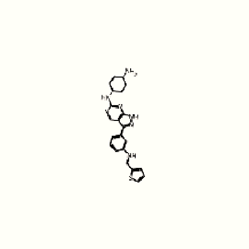 N[C@H]1CC[C@H](Nc2ncc3c(-c4cccc(NCc5cccs5)c4)n[nH]c3n2)CC1